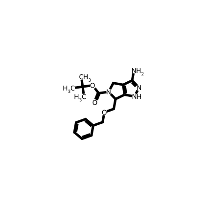 CC(C)(C)OC(=O)N1Cc2c(N)n[nH]c2C1COCc1ccccc1